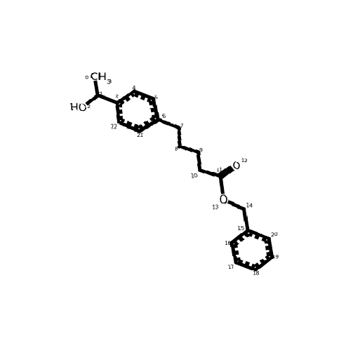 CC(O)c1ccc(CCCCC(=O)OCc2ccccc2)cc1